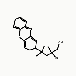 CCC(C)(CO)CC(C)(C)C1C=C2N=C3C=CCC=C3SC2=CC1